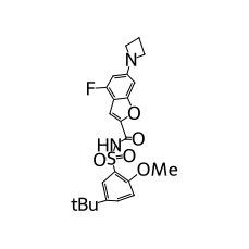 COc1ccc(C(C)(C)C)cc1S(=O)(=O)NC(=O)c1cc2c(F)cc(N3CCC3)cc2o1